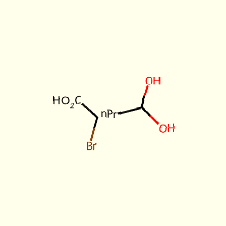 CCCC(O)O.O=C(O)CBr